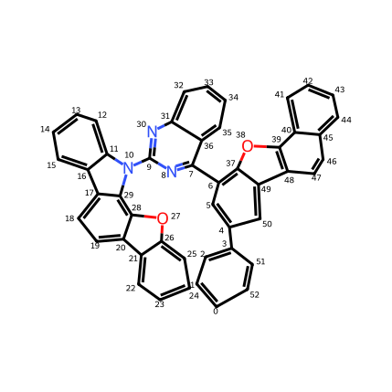 c1ccc(-c2cc(-c3nc(-n4c5ccccc5c5ccc6c7ccccc7oc6c54)nc4ccccc34)c3oc4c5ccccc5ccc4c3c2)cc1